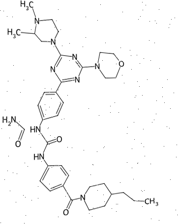 CCCC1CCN(C(=O)c2ccc(NC(=O)Nc3ccc(-c4nc(N5CCOCC5)nc(N5CCN(C)C(C)C5)n4)cc3)cc2)CC1.NC=O